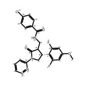 COc1cc(F)c([C@@H]2CN(c3cccnn3)C(=O)C2CNC(=O)c2ccc(Cl)cc2)c(F)c1